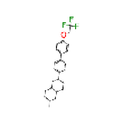 CC1CCC2CC(c3ccc(-c4ccc(OCC(F)(F)F)cc4)cc3)CCC2C1